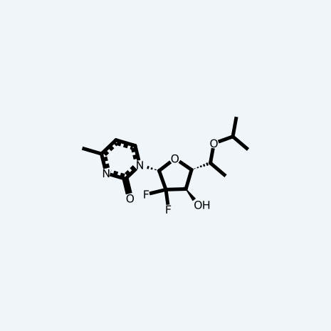 Cc1ccn([C@@H]2O[C@H](C(C)OC(C)C)[C@@H](O)C2(F)F)c(=O)n1